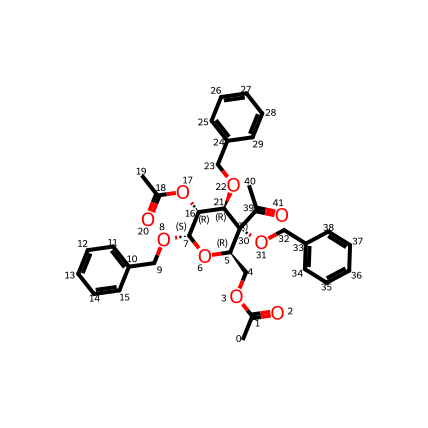 CC(=O)OC[C@H]1O[C@H](OCc2ccccc2)[C@H](OC(C)=O)[C@@H](OCc2ccccc2)[C@@]1(OCc1ccccc1)C(C)=O